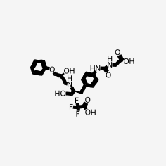 O=C(O)C(F)(F)F.O=C(O)CNC(=O)Nc1ccc(C[C@@H](CO)NC[C@H](O)COc2ccccc2)cc1